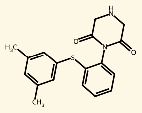 Cc1cc(C)cc(Sc2ccccc2N2C(=O)CNCC2=O)c1